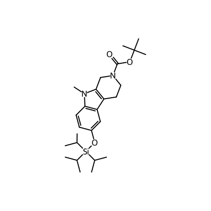 CC(C)[Si](Oc1ccc2c(c1)c1c(n2C)CN(C(=O)OC(C)(C)C)CC1)(C(C)C)C(C)C